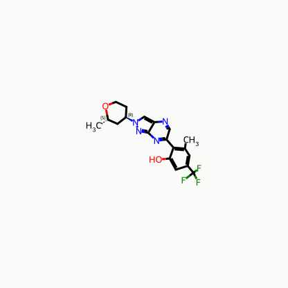 Cc1cc(C(F)(F)F)cc(O)c1-c1cnc2cn([C@@H]3CCO[C@@H](C)C3)nc2n1